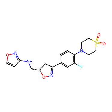 O=S1(=O)CCN(c2ccc(C3=NO[C@H](CNc4ccon4)C3)cc2F)CC1